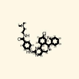 CN(C)CCNC(=O)c1ccc(Nc2ncc3c(n2)-c2ccc(Cl)cc2C(c2ccccc2F)=NC3)cc1